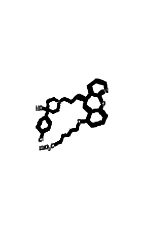 CCOC(=O)CCCCCOC1C=CC=C2Oc3ncccc3C(=CCCN3CCC(O)(c4ccc(Cl)cc4)CC3)C=C21